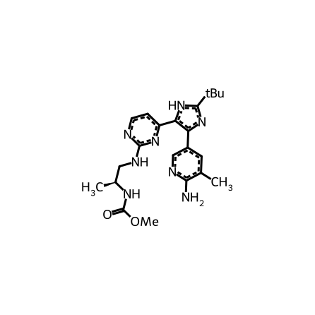 COC(=O)N[C@@H](C)CNc1nccc(-c2[nH]c(C(C)(C)C)nc2-c2cnc(N)c(C)c2)n1